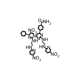 NC(=O)c1ccc(-c2ccnc(NCCNc3ccc([N+](=O)[O-])cn3)n2)cc1.O=[N+]([O-])c1ccc(NCCNc2ncc([N+](=O)[O-])c(-c3ccccc3)n2)nc1